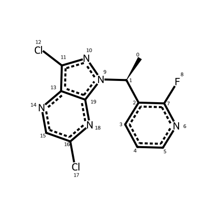 C[C@@H](c1cccnc1F)n1nc(Cl)c2ncc(Cl)nc21